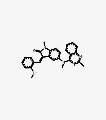 COc1ccccc1/C=C1\C(=O)N(C)c2ccc(N(C)c3nc(C)nc4ccccc34)cc21